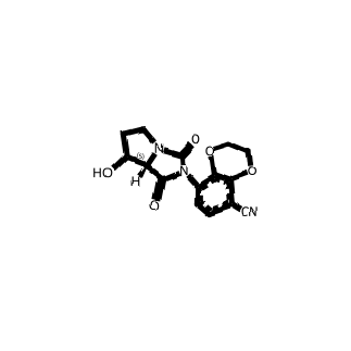 N#Cc1ccc(N2C(=O)[C@@H]3C(O)CCN3C2=O)c2c1OCCO2